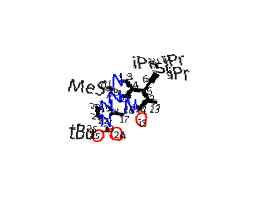 CSc1ncc2c(C#C[Si](C(C)C)(C(C)C)C(C)C)c(C)c(=O)n(Cc3nccn3C(=O)OC(C)(C)C)c2n1